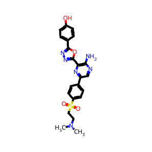 CN(C)CCS(=O)(=O)c1ccc(-c2cnc(N)c(-c3nnc(-c4ccc(O)cc4)o3)n2)cc1